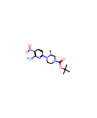 C[C@H]1CN(C(=O)OC(C)(C)C)CCN1c1ccc([N+](=O)[O-])c(N)n1